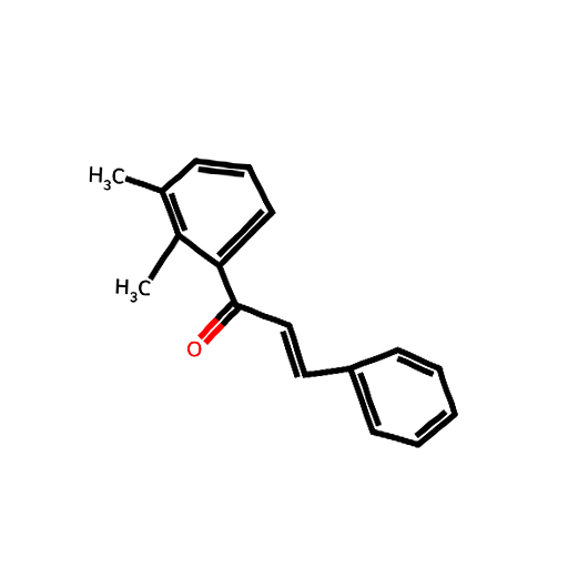 Cc1cccc(C(=O)C=Cc2ccccc2)c1C